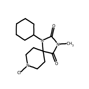 CN1C(=O)N(C2CCCCC2)C2(CCN(Cl)CC2)C1=O